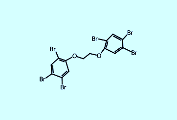 Brc1cc(Br)c(OCCOc2cc(Br)c(Br)cc2Br)cc1Br